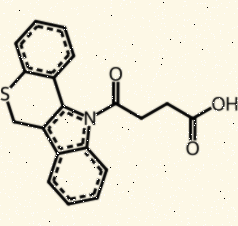 O=C(O)CCC(=O)n1c2c(c3ccccc31)CSc1ccccc1-2